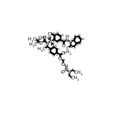 CCN(CC)[N+]([O-])=NOCOC(=O)c1ccc(C(C)N(C(=O)OC(C)(C)C)S(=O)(=O)c2cc(C(=O)NN3c4ccccc4CC3C)ccc2Cl)cc1